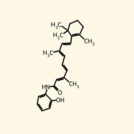 CC(C=CC1=C(C)CCCC1(C)C)=CC=CC(C)=CC(=O)Nc1ccccc1O